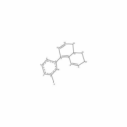 Ic1cccc(C2=C3C=CCCC3CC=C2)c1